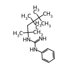 CC(C)(CC(C)(C)C(C)(C)C)NC(=N)Nc1ccccc1